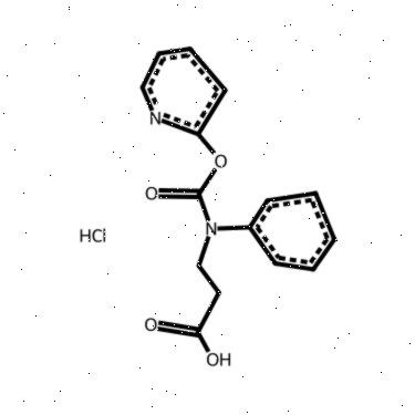 Cl.O=C(O)CCN(C(=O)Oc1ccccn1)c1ccccc1